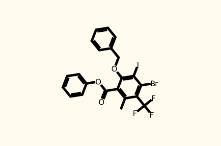 Cc1c(C(=O)Oc2ccccc2)c(OCc2ccccc2)c(I)c(Br)c1C(F)(F)F